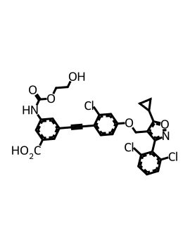 O=C(Nc1cc(C#Cc2ccc(OCc3c(-c4c(Cl)cccc4Cl)noc3C3CC3)cc2Cl)cc(C(=O)O)c1)OCCO